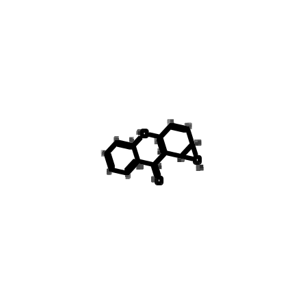 O=c1c2c(oc3ccccc13)C=CC1OC21